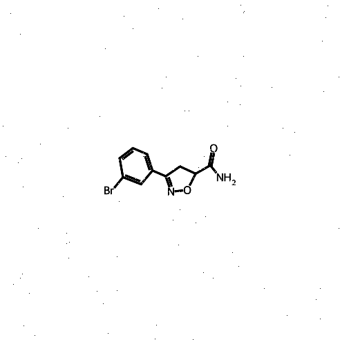 NC(=O)C1CC(c2cccc(Br)c2)=NO1